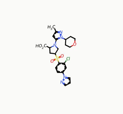 Cc1cc(N2CC(S(=O)(=O)c3ccc(-n4cccn4)cc3Cl)CC2C(=O)O)n(C2CCOCC2)n1